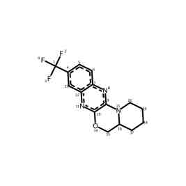 FC(F)(F)c1ccc2nc3c(nc2c1)OCC1CCCCN31